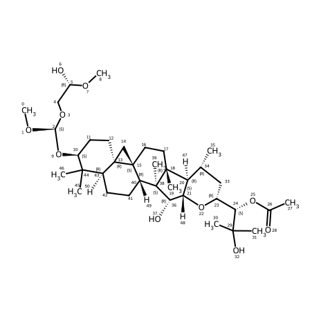 CO[C@@H](OC[C@H](O)OC)O[C@H]1CC[C@]23C[C@]24CC[C@]2(C)[C@@H]5[C@H](O[C@@H]([C@H](OC(C)=O)C(C)(C)O)C[C@H]5C)[C@H](O)[C@@]2(C)[C@@H]4CC[C@H]3C1(C)C